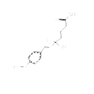 COc1ccc(CSC(C)(C)CCCC(N)=O)cc1